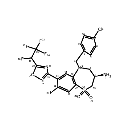 N[C@@H]1CN(Cc2ccc(Cl)cc2)c2cc(-c3noc(C(F)C(F)(F)F)n3)c(F)cc2S(=O)(=O)C1